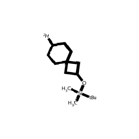 [2H]C1CCC2(CC1)CC(O[Si](C)(C)C(C)(C)C)C2